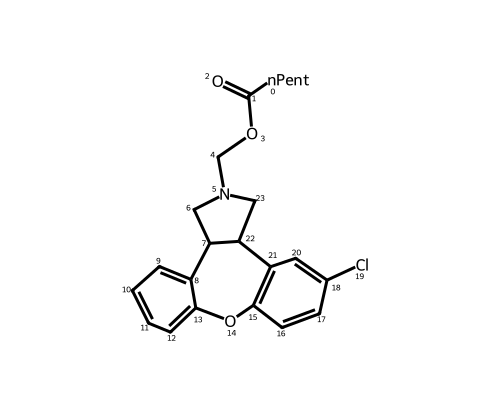 CCCCCC(=O)OCN1CC2c3ccccc3Oc3ccc(Cl)cc3C2C1